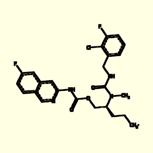 [CH2]CC[C@@H](COC(=O)Nc1cc2cc(F)ccc2cn1)N(C)C(=O)NCc1cccc(F)c1Cl